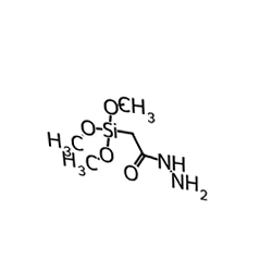 CO[Si](CC(=O)NN)(OC)OC